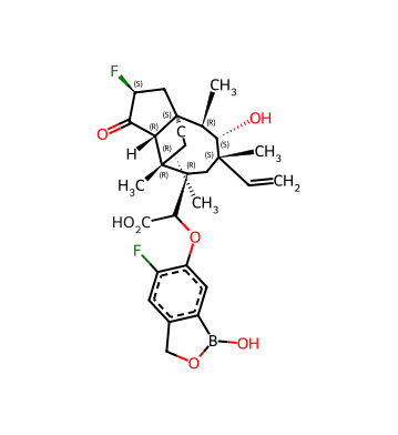 C=C[C@]1(C)C[C@@H](C(Oc2cc3c(cc2F)COB3O)C(=O)O)[C@@]2(C)[C@H](C)CC[C@]3(C[C@H](F)C(=O)[C@H]32)[C@@H](C)[C@@H]1O